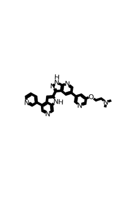 CN(C)CCOc1cncc(-c2cnc3[nH]nc(-c4cc5c(-c6cccnc6)cncc5[nH]4)c3c2)c1